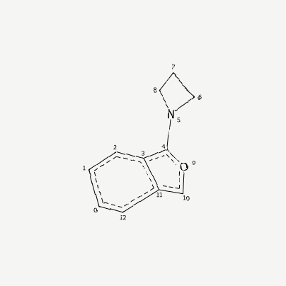 c1ccc2c(N3CCC3)occ2c1